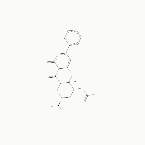 CC(=O)O[C@H]1C[C@@H](C(C)C)C[C@H]2C(=O)c3c(cc(-c4ccccc4)oc3=O)O[C@]12C